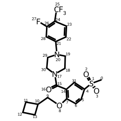 CS(=O)(=O)c1ccc(OCC2CCC2)c(C(=O)N2CCN(c3ccc(C(F)(F)F)c(F)c3)CC2)c1